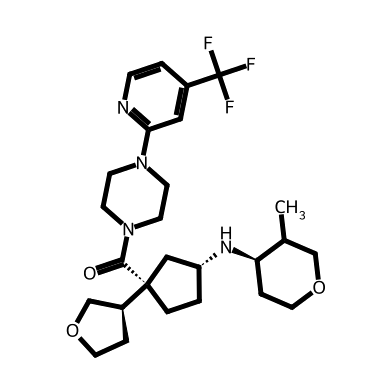 CC1COCC[C@H]1N[C@@H]1CC[C@@](C(=O)N2CCN(c3cc(C(F)(F)F)ccn3)CC2)([C@H]2CCOC2)C1